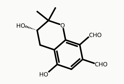 CC1(C)Oc2c(C=O)c(C=O)cc(O)c2C[C@@H]1O